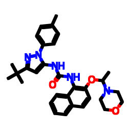 Cc1ccc(-n2nc(C(C)(C)C)cc2NC(=O)Nc2c(OC(C)N3CCOCC3)ccc3ccccc23)cc1